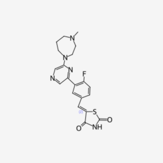 CN1CCCN(c2cncc(-c3cc(/C=C4\SC(=O)NC4=O)ccc3F)n2)CC1